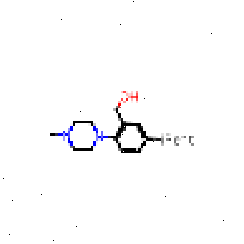 CCCC(C)c1ccc(N2CCN(C)CC2)c(CO)c1